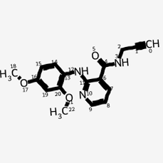 C#CCNC(=O)c1cccnc1Nc1ccc(OC)cc1OC